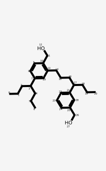 CCCC(CCC)c1ccc(CO)c(CCCC(CCC)c2cccc(CO)c2)c1